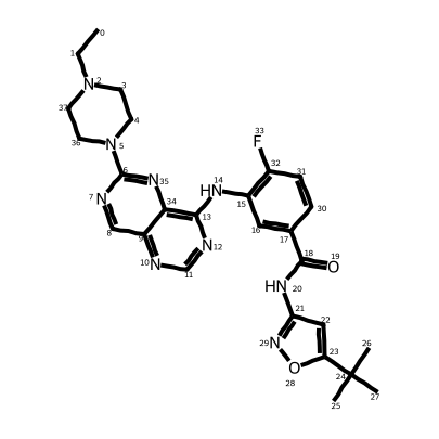 CCN1CCN(c2ncc3ncnc(Nc4cc(C(=O)Nc5cc(C(C)(C)C)on5)ccc4F)c3n2)CC1